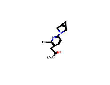 CCc1nc(N2CC3CC3C2)ccc1CC(=O)OC